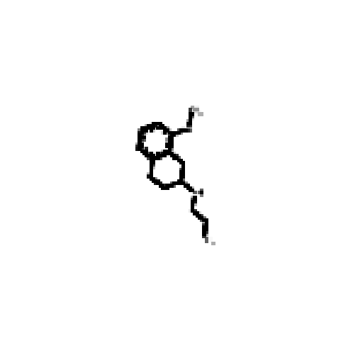 CCCNC1CCc2cccc(OC)c2C1